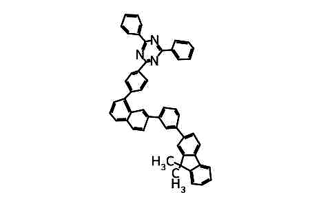 CC1(C)c2ccccc2-c2ccc(-c3cccc(-c4ccc5cccc(-c6ccc(-c7nc(-c8ccccc8)nc(-c8ccccc8)n7)cc6)c5c4)c3)cc21